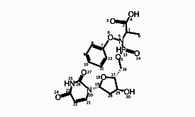 CC(C(=O)O)N(Oc1ccccc1)[PH](=O)OC[C@H]1O[C@@H](n2ccc(=O)[nH]c2=O)C[C@@H]1O